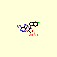 Nc1ncnc2c1ncn2[C@]1(C2CCc3cc(Cl)ccc32)O[C@H](CO)[C@@H](O)[C@H]1O